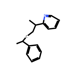 CC(CCC(C)c1ccccn1)c1ccccc1